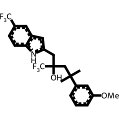 COc1cccc(C(C)(C)CC(O)(Cc2cc3cc(C(F)(F)F)ccc3[nH]2)C(F)(F)F)c1